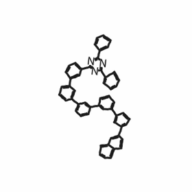 c1ccc(-c2nc(-c3ccccc3)nc(-c3cccc(-c4cccc(-c5cccc(-c6cccc(-c7cccc(-c8ccc9ccccc9c8)c7)c6)c5)c4)c3)n2)cc1